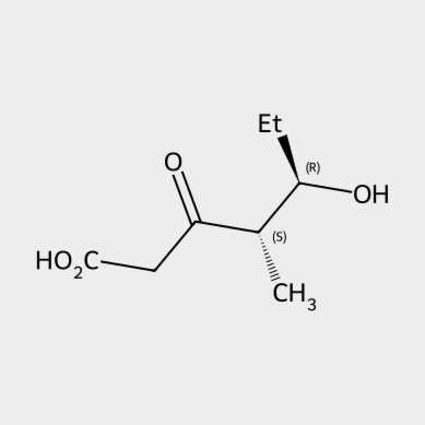 CC[C@@H](O)[C@H](C)C(=O)CC(=O)O